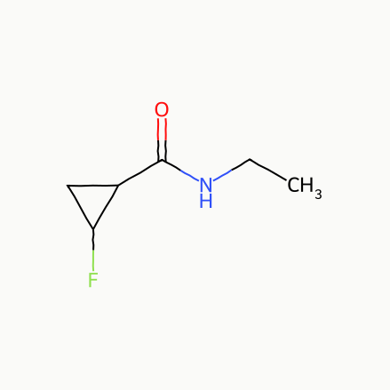 CCNC(=O)C1CC1F